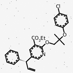 C=C[C@H](c1ccccc1)c1cnc(OCC(C)(C)Oc2ccc(Cl)cc2)c(C(=O)OCC)c1